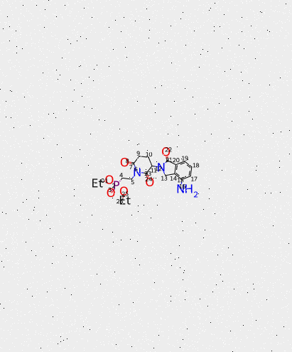 CCOP(=O)(CCN1C(=O)CCC(N2Cc3c(N)cccc3C2=O)C1=O)OCC